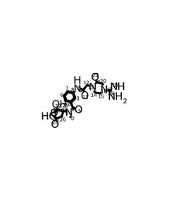 CN(C(=O)c1cccc(NC(=O)CN2CCN(C(=N)N)CC2=O)c1)[C@@](C)(CC(=O)O)C(=O)O